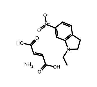 CCN1CCc2ccc([N+](=O)[O-])cc21.N.O=C(O)C=CC(=O)O